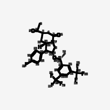 CC(=O)C1CC(=O)N2C[C@H](O[C@H](C)c3cc(C(F)(F)F)cc(C(F)(F)F)c3)C(c3ccc(F)cc3)[C@@H]2C1